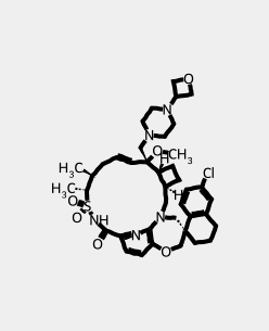 CO[C@@]1(CN2CCN(C3COC3)CC2)/C=C/C[C@H](C)[C@@H](C)S(=O)(=O)NC(=O)c2ccc3c(n2)N(C[C@@H]2CC[C@H]21)C[C@]1(CCCc2cc(Cl)ccc21)CO3